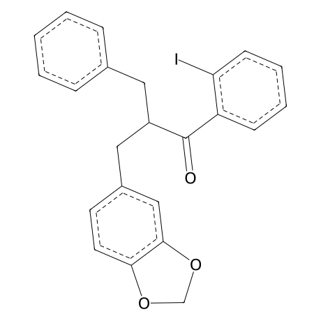 O=C(c1ccccc1I)C(Cc1ccccc1)Cc1ccc2c(c1)OCO2